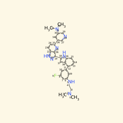 CN(C)CCNc1cc(F)cc(-c2cccc3[nH]c(-c4n[nH]c5ccc(-c6cncc(N(C)C)c6)nc45)cc23)c1